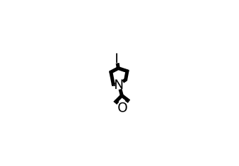 IC1CCN(C2COC2)CC1